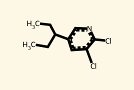 CCC(CC)c1cnc(Cl)c(Cl)c1